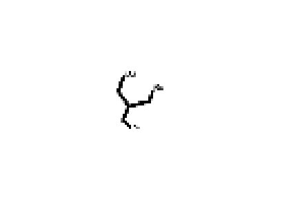 [CH2]C(C)CC(CC(C)CC)CC(C)CC